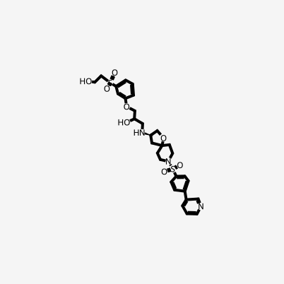 O=S(=O)(CCO)c1cccc(OCC(O)CN[C@H]2COC3(CCN(S(=O)(=O)c4ccc(-c5cccnc5)cc4)CC3)C2)c1